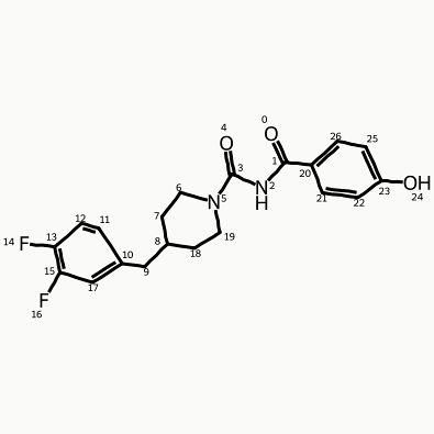 O=C(NC(=O)N1CCC(Cc2ccc(F)c(F)c2)CC1)c1ccc(O)cc1